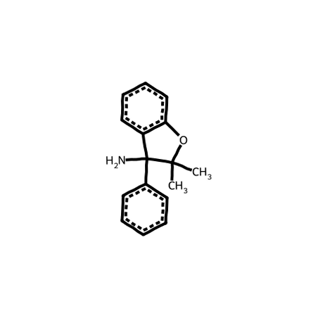 CC1(C)Oc2ccccc2C1(N)c1ccccc1